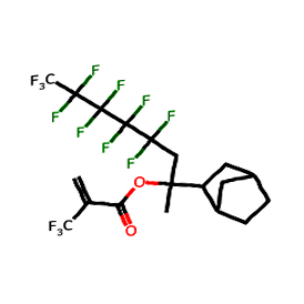 C=C(C(=O)OC(C)(CC(F)(F)C(F)(F)C(F)(F)C(F)(F)C(F)(F)F)C1CC2CCC1C2)C(F)(F)F